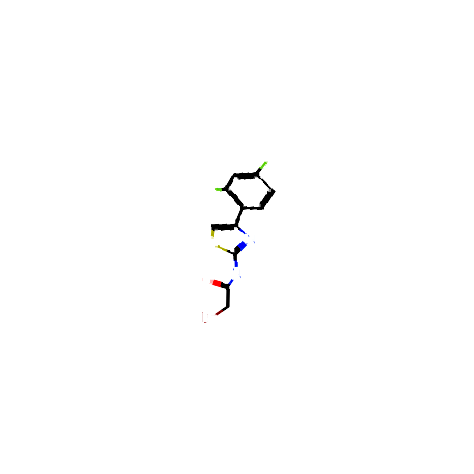 O=C(CBr)Nc1nc(-c2ccc(F)cc2F)cs1